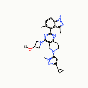 CCOC1CN(c2nc(-c3c(C)ccc4[nH]nc(C)c34)nc3c2CN(c2cc(C4CC4)nn2C)CC3)C1